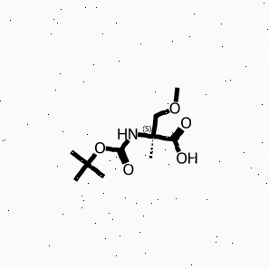 COC[C@](C)(NC(=O)OC(C)(C)C)C(=O)O